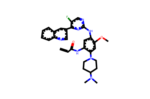 C=CC(=O)Nc1cc(Nc2ncc(F)c(-c3cnc4ccccc4c3)n2)c(OC)cc1N1CCC(N(C)C)CC1